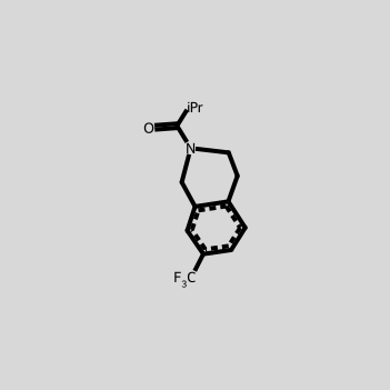 CC(C)C(=O)N1CCc2ccc(C(F)(F)F)cc2C1